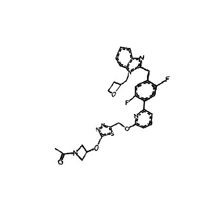 CC(=O)N1CC(Oc2nnc(COc3cccc(-c4cc(F)c(Cc5nc6ccccc6n5CC5CCO5)cc4F)n3)s2)C1